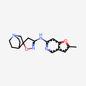 Cc1cc2cnc(NC3=NOC4(C3)CN3CCC4CC3)cc2o1